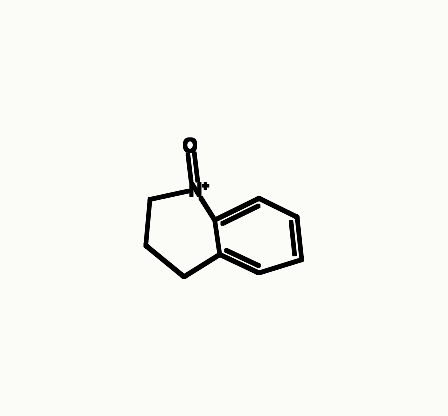 O=[N+]1CCCc2ccccc21